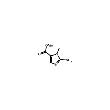 COC(=O)c1cnc(N)n1C